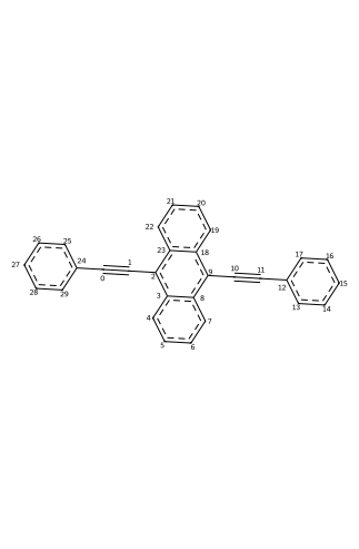 C(#Cc1c2ccccc2c(C#Cc2ccccc2)c2ccccc12)c1ccccc1